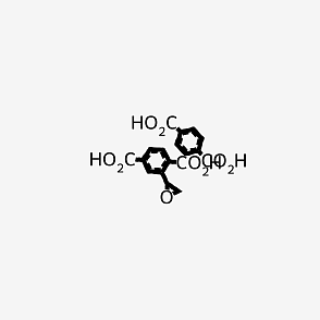 O=C(O)c1ccc(C(=O)O)c(C2CO2)c1.O=C(O)c1ccc(C(=O)O)cc1